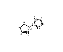 C1=NN(c2ncco2)CC1